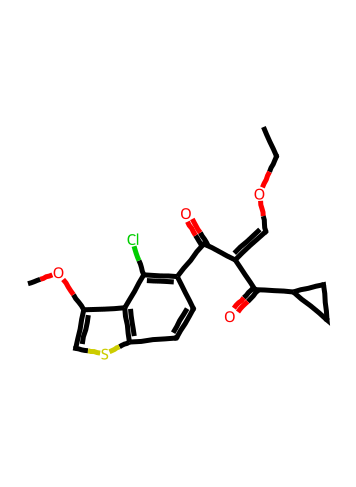 CCO/C=C(\C(=O)c1ccc2scc(OC)c2c1Cl)C(=O)C1CC1